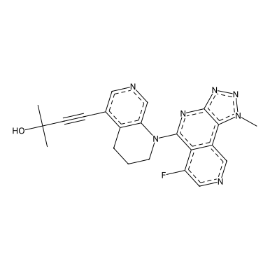 Cn1nnc2nc(N3CCCc4c(C#CC(C)(C)O)cncc43)c3c(F)cncc3c21